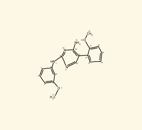 COc1cccc(Nc2ncc(-c3ccccc3OC)c(N)n2)c1